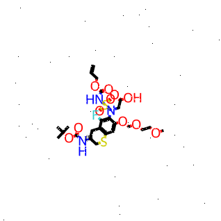 C=CCOC(=O)NS(=O)(=O)N(CC(=O)O)c1c(OCOCCOC)cc2c(c1F)C[C@H](NC(=O)OC(C)(C)C)CS2